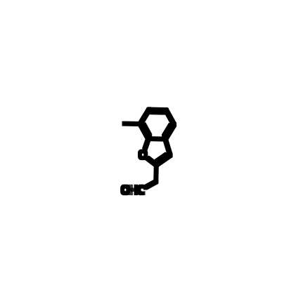 Cc1cccc2cc(CC=O)oc12